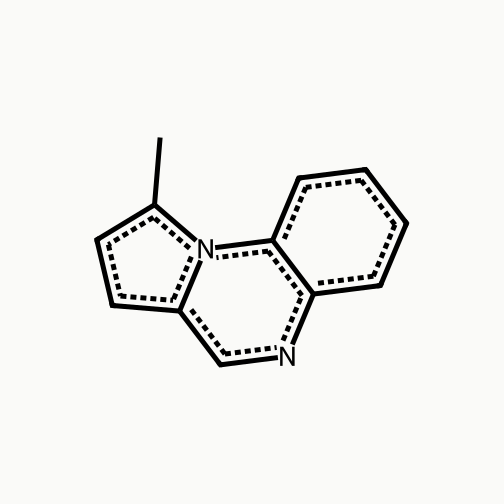 Cc1ccc2cnc3ccccc3n12